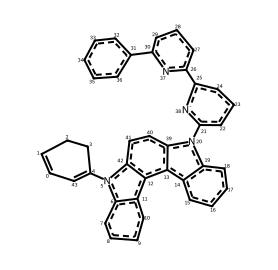 C1=CCCC(n2c3ccccc3c3c4c5ccccc5n(-c5cccc(-c6cccc(-c7ccccc7)n6)n5)c4ccc32)=C1